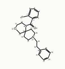 O=C(c1ccccc1F)N1CCOCC12CCN(CCc1ccccc1)CC2